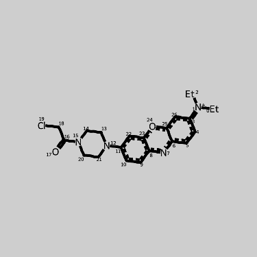 CC[N+](CC)=c1ccc2nc3ccc(N4CCN(C(=O)CCl)CC4)cc3oc-2c1